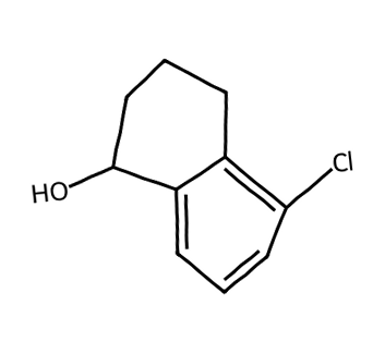 OC1CCCc2c(Cl)cccc21